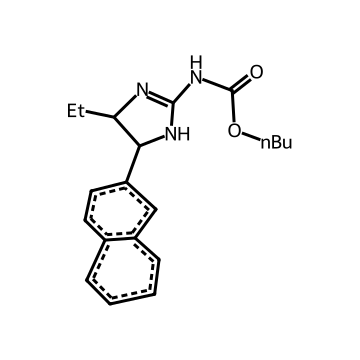 CCCCOC(=O)NC1=NC(CC)C(c2ccc3ccccc3c2)N1